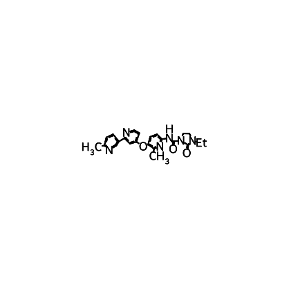 CCN1CCN(C(=O)Nc2ccc(Oc3ccnc(-c4ccc(C)nc4)c3)c(C)n2)C1=O